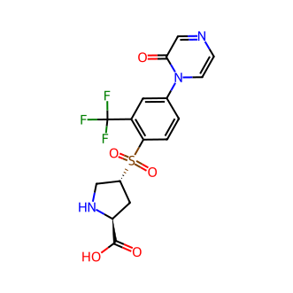 O=C(O)[C@@H]1C[C@@H](S(=O)(=O)c2ccc(-n3ccncc3=O)cc2C(F)(F)F)CN1